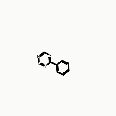 c1ccc(-c2ncnnn2)cc1